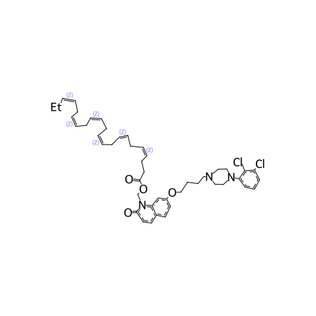 CC/C=C\C/C=C\C/C=C\C/C=C\C/C=C\C/C=C\CCC(=O)OCn1c(=O)ccc2ccc(OCCCCN3CCN(c4cccc(Cl)c4Cl)CC3)cc21